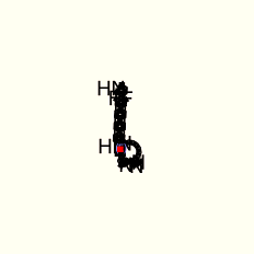 C=C1CCC(c2c(F)cc(N3CCC(N4CCN(c5ccc6c(c5)N5CCCCCCc7c(cnn7C)-c7cc(cc(C)n7)C(=C)/N=C/5N6)CC4)CC3)cc2F)C(=C)N1